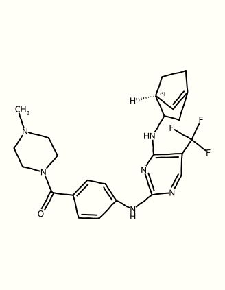 CN1CCN(C(=O)c2ccc(Nc3ncc(C(F)(F)F)c(NC4CC5=C[C@@H]4CC5)n3)cc2)CC1